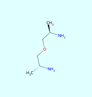 C[C@@H](N)COC[C@@H](C)N